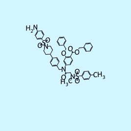 Cc1ccc(S(=O)(=O)N(C)CC(=O)N(Cc2ccc(C3CCN(S(=O)(=O)c4ccc(N)cc4)CC3)cc2)c2ccc(C(=O)OCc3ccccc3)c(OCc3ccccc3)c2)cc1